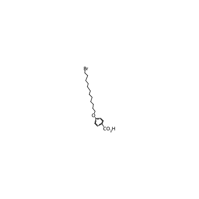 O=C(O)c1ccc(OCCCCCCCCCCCCBr)cc1